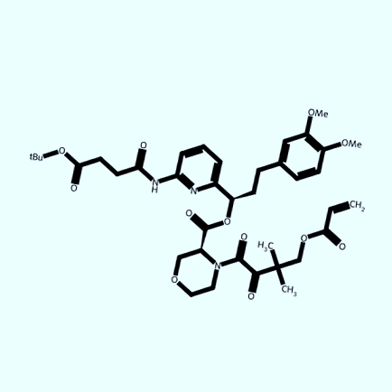 C=CC(=O)OCC(C)(C)C(=O)C(=O)N1CCOC[C@H]1C(=O)O[C@H](CCc1ccc(OC)c(OC)c1)c1cccc(NC(=O)CCC(=O)OC(C)(C)C)n1